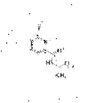 CC(C)NC(=O)c1cccc(F)n1